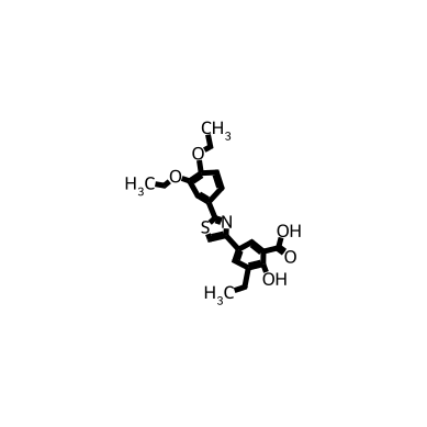 CCOc1ccc(-c2nc(-c3cc(CC)c(O)c(C(=O)O)c3)cs2)cc1OCC